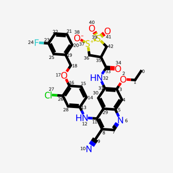 CCOc1cc2ncc(C#N)c(Nc3ccc(OCc4cccc(F)c4)c(Cl)c3)c2cc1NC(=O)C1C[S+]([O-])S(=O)(=O)C1